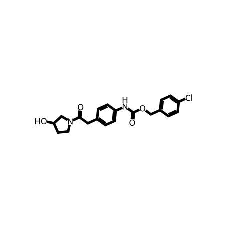 O=C(Nc1ccc(CC(=O)N2CCC(O)C2)cc1)OCc1ccc(Cl)cc1